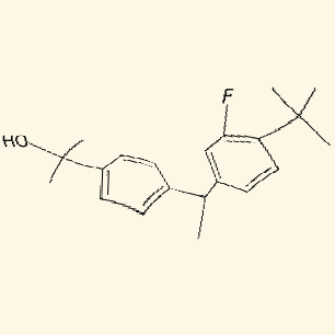 CC(c1ccc(C(C)(C)O)cc1)c1ccc(C(C)(C)C)c(F)c1